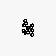 c1ccc(-c2ccc(-c3ccccc3-c3cc(-c4cccc5c4oc4ccccc45)nc(-c4cccc5oc6ccccc6c45)n3)cc2)cc1